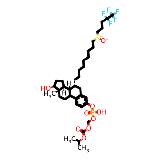 CC(C)OC(=O)OCOP(=O)(O)Oc1ccc2c(c1)C[C@@H](CCCCCCCCC[S+]([O-])CCCC(F)(F)C(F)(F)F)[C@@H]1C2CC[C@]2(C)[C@@H](O)CC[C@@H]12